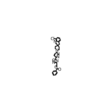 N#CC1(Cc2cccc(Cl)c2)CCN(c2ccc(-c3nc(COC(=O)c4ccccc4)no3)nn2)CC1